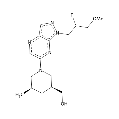 COCC(F)Cn1ncc2ncc(N3C[C@H](C)C[C@H](CO)C3)nc21